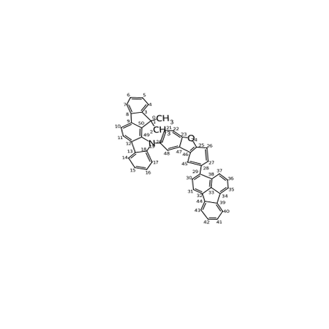 CC1(C)c2ccccc2-c2ccc3c4ccccc4n(-c4ccc5oc6ccc(-c7ccc8c9c(cccc79)-c7ccccc7-8)cc6c5c4)c3c21